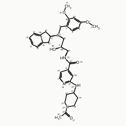 COc1ccc(CN(C[C@H](O)CNC(=O)c2ccnc(NC3CCN(C(C)=O)CC3)c2)C2Cc3ccccc3C2)c(OC)c1